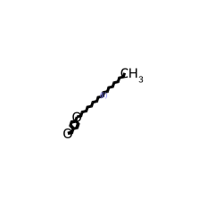 CCCCCCCC/C=C/CCCCCCCCOc1ccc(C=O)cc1